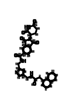 O=C(Cc1cccc2ccccc12)NCc1cnc(CNC(=O)c2ccc3c(c2)C(=O)N(C2CCC(=O)NC2=O)C3=O)s1